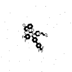 COCCN1CCC(N(Cc2ccc(-c3ccc(C(F)(F)F)cc3)cc2)C(=O)Cn2c(Sc3cccc(F)c3F)cc(=O)c3ccccc32)CC1